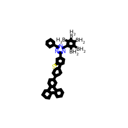 Bc1c(B)c(B)c(-c2nc(-c3ccccc3)nc(-c3ccc4c(c3)sc3cc(-c5ccc6c7ccccc7c7ccccc7c6c5)ccc34)n2)c(B)c1B